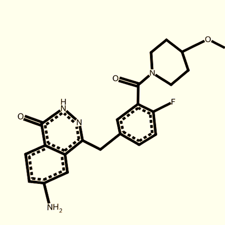 COC1CCN(C(=O)c2cc(Cc3n[nH]c(=O)c4ccc(N)cc34)ccc2F)CC1